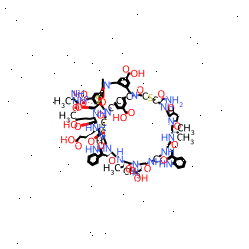 CC(C)[C@@H]1NC(=O)[C@H](Cc2c[nH]c3ccccc23)NC(=O)[C@@H]2CSCC(=O)N3Cc4cc(cc(C(=O)O)c4)CN(Cc4cc(cc(C(=O)O)c4)CN(Cc4cc(cc(C(=O)O)c4)C3)C(=O)CS[C@H](NC(=O)[C@@H](C)N)C(=O)N[C@@H]([C@@H](C)O)C(=O)N[C@@H](CCC(=O)O)C(=O)N2)C(=O)CSC[C@@H](C(N)=O)NC(=O)[C@@H]2CCCN2C(=O)[C@H](C(C)C)NC(=O)[C@H](Cc2c[nH]c3ccccc23)NC(=O)CNC(=O)[C@H](CC(=O)O)NC1=O